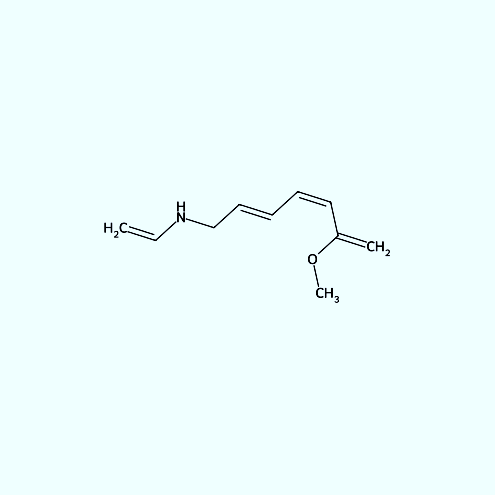 C=CNC/C=C/C=C\C(=C)OC